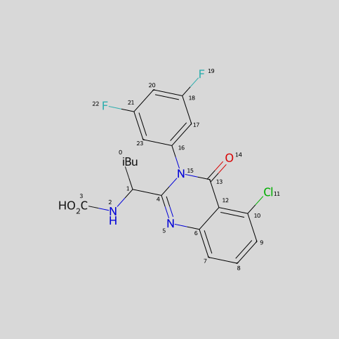 CCC(C)C(NC(=O)O)c1nc2cccc(Cl)c2c(=O)n1-c1cc(F)cc(F)c1